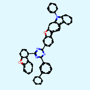 c1ccc(-c2cccc(-c3nc(-c4ccc5c(c4)oc4cc6c(cc45)c4ccccc4n6-c4ccccc4)nc(-c4cccc5oc6ccccc6c45)n3)c2)cc1